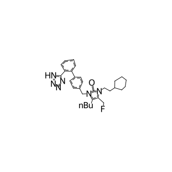 CCCCc1c(CF)n(CCC2CCCCC2)c(=O)n1Cc1ccc(-c2ccccc2-c2nnn[nH]2)cc1